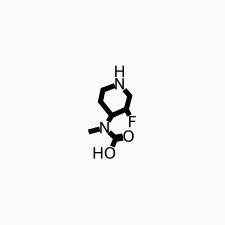 CN(C(=O)O)C1CCNCC1F